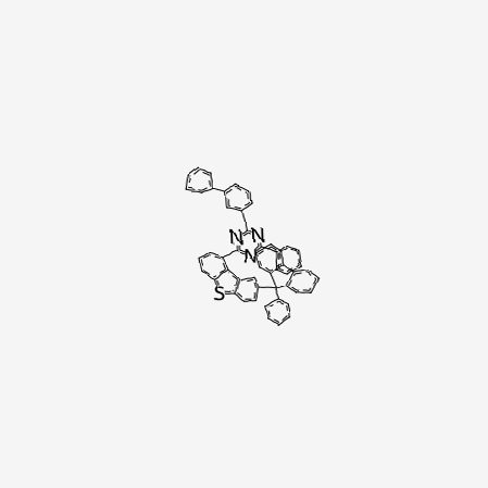 c1ccc(-c2cccc(-c3nc(-c4ccccc4)nc(-c4cccc5sc6ccc(C7(c8ccccc8)c8ccccc8-c8ccccc87)cc6c45)n3)c2)cc1